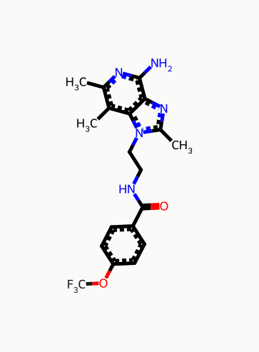 Cc1nc(N)c2nc(C)n(CCNC(=O)c3ccc(OC(F)(F)F)cc3)c2c1C